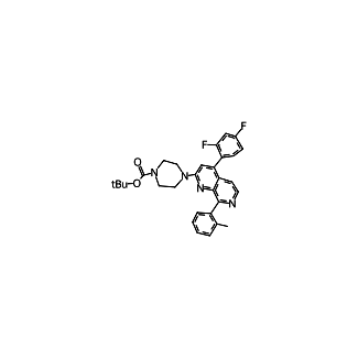 Cc1ccccc1-c1nccc2c(-c3ccc(F)cc3F)cc(N3CCN(C(=O)OC(C)(C)C)CC3)nc12